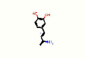 C=C(N)/C=C/c1ccc(O)c(O)c1